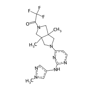 Cn1cc(Nc2nccc(N3CC4(C)CN(C(=O)C(F)(F)F)CC4(C)C3)n2)cn1